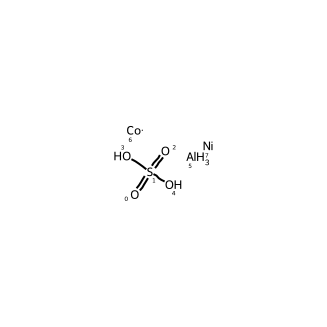 O=S(=O)(O)O.[AlH3].[Co].[Ni]